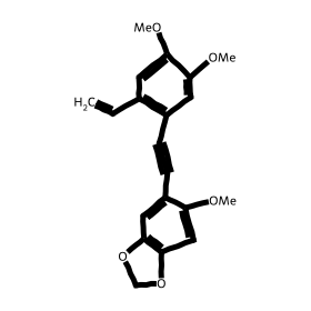 C=Cc1cc(OC)c(OC)cc1C#Cc1cc2c(cc1OC)OCO2